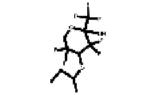 CCC(C)OC1C(F)(F)COC(O)(C(F)(F)F)C1(F)F